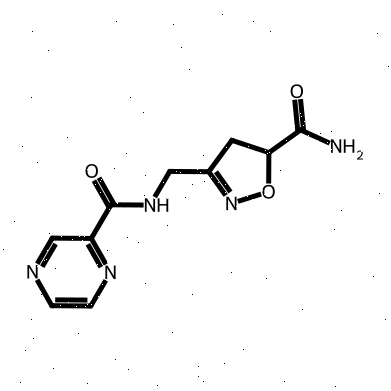 NC(=O)C1CC(CNC(=O)c2cnccn2)=NO1